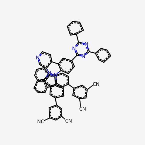 N#Cc1cc(C#N)cc(-c2ccc3c(c2)c2ccccc2n3-c2ccc(-c3nc(-c4ccccc4)nc(-c4ccccc4)n3)cc2-c2ccncc2-n2c3ccccc3c3cc(-c4cc(C#N)cc(C#N)c4)ccc32)c1